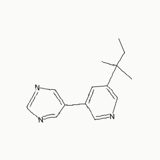 CCC(C)(C)c1cncc(-c2cncnc2)c1